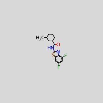 CC1CCCC(C(=O)Nc2nc3c(F)cc(F)cc3s2)C1